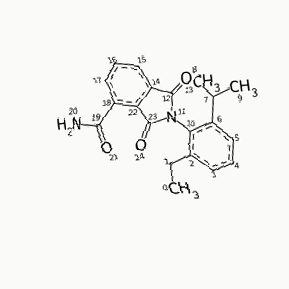 CCc1cccc(C(C)C)c1N1C(=O)c2cccc(C(N)=O)c2C1=O